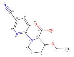 CCOC1CCCN(c2ccc(C#N)cn2)C1C(=O)O